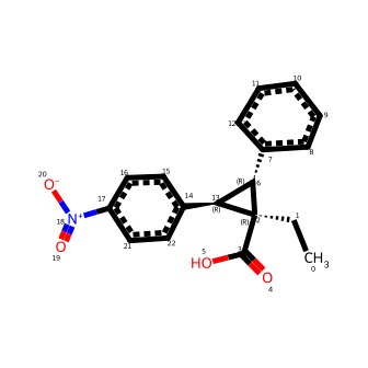 CC[C@@]1(C(=O)O)[C@@H](c2ccccc2)[C@@H]1c1ccc([N+](=O)[O-])cc1